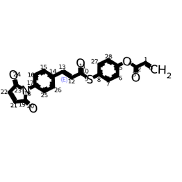 C=CC(=O)Oc1ccc(SC(=O)/C=C/c2ccc(N3C(=O)C=CC3=O)cc2)cc1